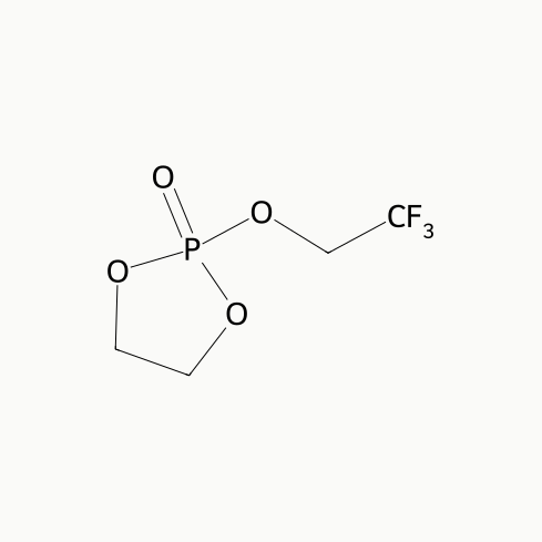 O=P1(OCC(F)(F)F)OCCO1